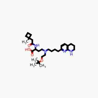 CC1(CC(=O)NC(CCN(CCCCc2ccc3c(n2)NCCC3)CCOC(C)(C)C)C(=O)O)CCC1